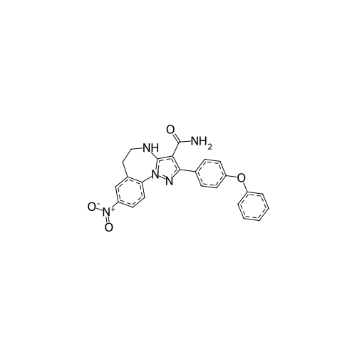 NC(=O)c1c(-c2ccc(Oc3ccccc3)cc2)nn2c1NCCc1cc([N+](=O)[O-])ccc1-2